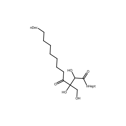 CCCCCCCCCCCCCCCCCC(=O)C(O)(CO)C(O)C(=O)CCCCCCC